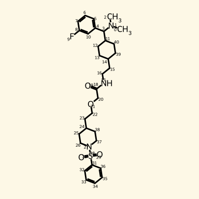 CN(C)C(c1cccc(F)c1)C1CCC(CCNC(=O)COCCC2CCN(S(=O)(=O)c3ccccc3)CC2)CC1